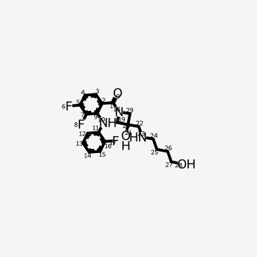 O=C(c1ccc(F)c(F)c1Nc1ccccc1F)N1CC(O)(CNCCCCO)C1